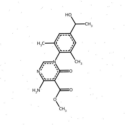 COC(=O)c1c(N)ncn(-c2c(C)cc(C(C)O)cc2C)c1=O